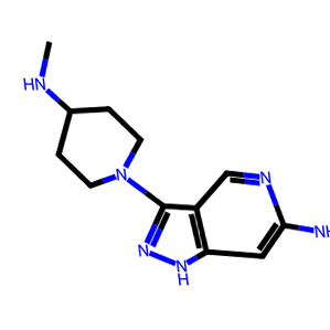 CNC1CCN(c2n[nH]c3cc(N)ncc23)CC1